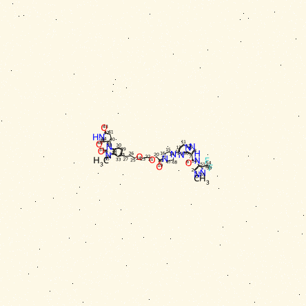 Cn1cc(NC(=O)c2cnn3ccc(N4CCN(C(=O)COCCOCCCc5ccc6c(c5)n(C)c(=O)n6C5CCC(=O)NC5=O)CC4)nc23)c(C(F)F)n1